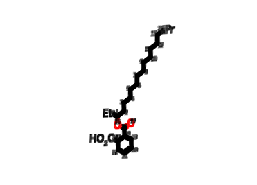 CCC(CCCCCCCCCCCCC(C)C)OC(=O)C1CC=CCC1C(=O)O